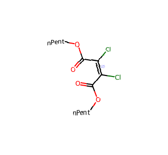 CCCCCOC(=O)/C(Cl)=C(/Cl)C(=O)OCCCCC